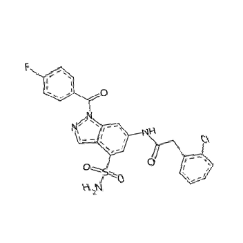 NS(=O)(=O)c1cc(NC(=O)Cc2ccccc2Cl)cc2c1cnn2C(=O)c1ccc(F)cc1